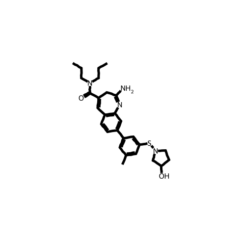 CCCN(CCC)C(=O)C1=Cc2ccc(-c3cc(C)cc(SN4CCC(O)C4)c3)cc2N=C(N)C1